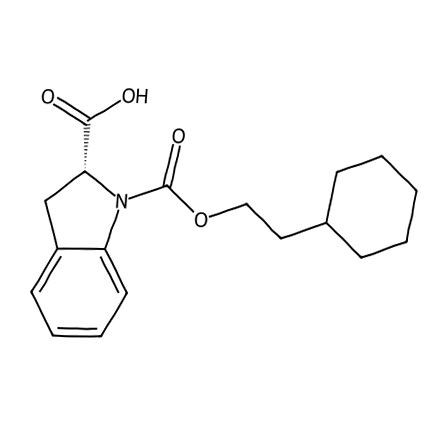 O=C(O)[C@H]1Cc2ccccc2N1C(=O)OCCC1CCCCC1